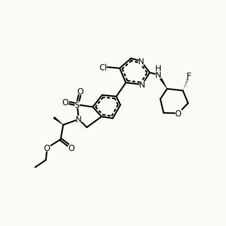 CCOC(=O)[C@@H](C)N1Cc2ccc(-c3nc(N[C@@H]4CCOC[C@H]4F)ncc3Cl)cc2S1(=O)=O